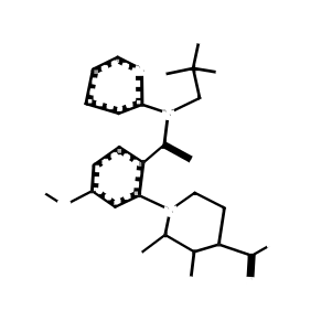 COc1ccc(C(=O)N(CC(C)(C)C)c2ccccn2)c(N2CCC(C(=O)O)C(C)C2C)c1